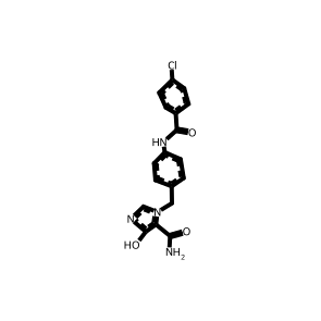 NC(=O)c1c(O)ncn1Cc1ccc(NC(=O)c2ccc(Cl)cc2)cc1